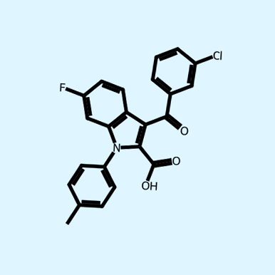 Cc1ccc(-n2c(C(=O)O)c(C(=O)c3cccc(Cl)c3)c3ccc(F)cc32)cc1